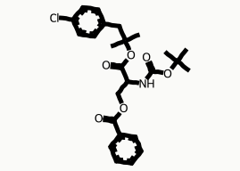 CC(C)(C)OC(=O)NC(COC(=O)c1ccccc1)C(=O)OC(C)(C)Cc1ccc(Cl)cc1